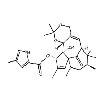 CC1=CC23C(=O)[C@@H](C=C4COC(C)(C)O[C@H]4[C@]2(O)[C@H]1OC(=O)c1cc(C)c[nH]1)C(C)(C)[C@@H](C)CC3C